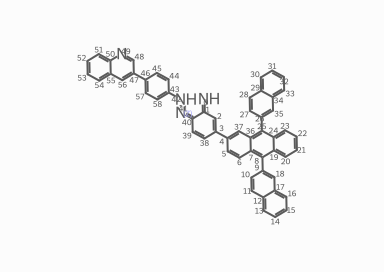 N=C1C=C(c2ccc3c(-c4ccc5ccccc5c4)c4ccccc4c(-c4ccc5ccccc5c4)c3c2)C=C/C1=N/Nc1ccc(-c2cnc3ccccc3c2)cc1